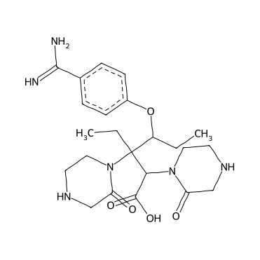 CCC(Oc1ccc(C(=N)N)cc1)C(CC)(C(C(=O)O)N1CCNCC1=O)N1CCNCC1=O